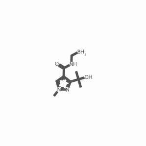 BCNC(=O)c1cn(C)nc1C(C)(C)O